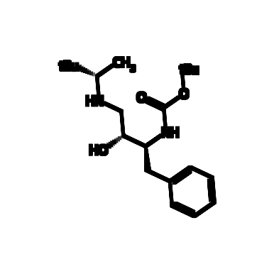 C[C@H](NC[C@@H](O)[C@H](Cc1ccccc1)NC(=O)OC(C)(C)C)C(C)(C)C